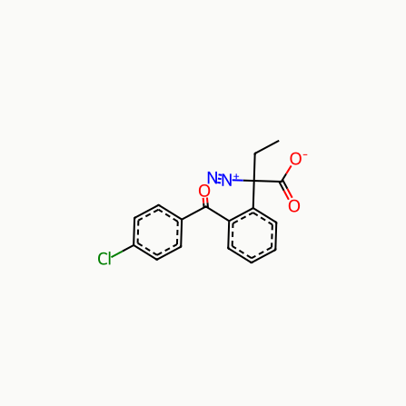 CCC([N+]#N)(C(=O)[O-])c1ccccc1C(=O)c1ccc(Cl)cc1